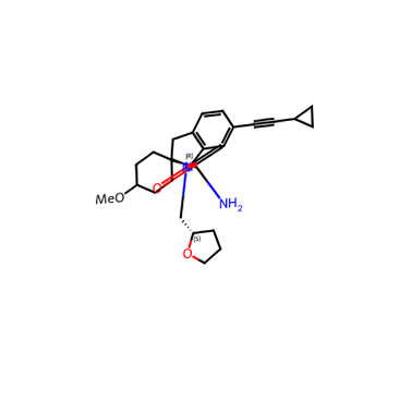 COC1CCC2(CC1)Cc1ccc(C#CC3CC3)cc1[C@]21N=C(N)N(C[C@@H]2CCCO2)C1=O